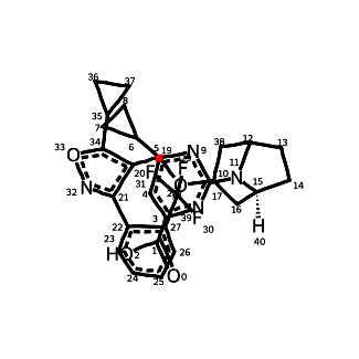 O=C(O)c1cc(C2CC2)nc(N2C3CC[C@H]2CC(OCc2c(-c4ccccc4C(F)(F)F)noc2C2CC2)C3)n1